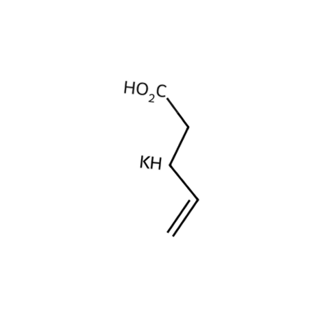 C=CCCC(=O)O.[KH]